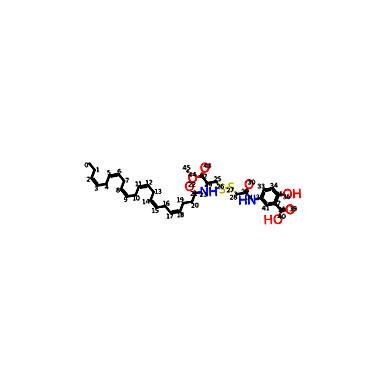 CC/C=C\C/C=C\C/C=C\C/C=C\C/C=C\C/C=C\CCC(=O)NC(CSSCC(=O)Nc1ccc(O)c(C(=O)O)c1)C(=O)OC